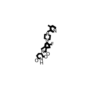 Cc1ccncc1CN1CCN(c2cc3c(cc2F)C(=O)N(C2CCC(=O)NC2=O)C3)CC1